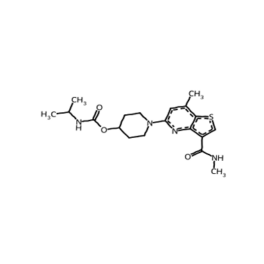 CNC(=O)c1csc2c(C)cc(N3CCC(OC(=O)NC(C)C)CC3)nc12